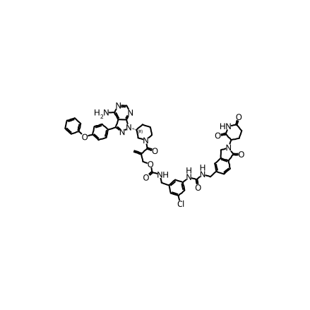 C=C(COC(=O)NCc1cc(Cl)cc(NC(=O)NCc2ccc3c(c2)CN(C2CCC(=O)NC2=O)C3=O)c1)C(=O)N1CCC[C@@H](n2nc(-c3ccc(Oc4ccccc4)cc3)c3c(N)ncnc32)C1